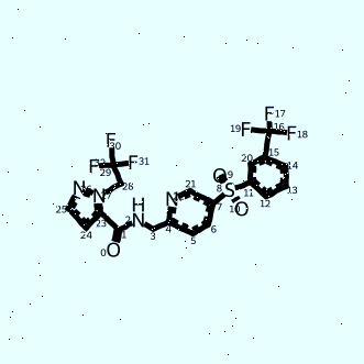 O=C(NCc1ccc(S(=O)(=O)c2cccc(C(F)(F)F)c2)cn1)c1ccnn1CC(F)(F)F